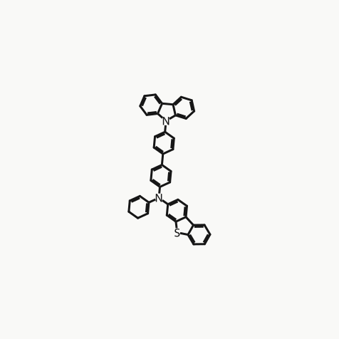 C1=CC(N(c2ccc(-c3ccc(-n4c5ccccc5c5ccccc54)cc3)cc2)c2ccc3c(c2)sc2ccccc23)=CCC1